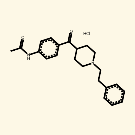 CC(=O)Nc1ccc(C(=O)C2CCN(CCc3ccccc3)CC2)cc1.Cl